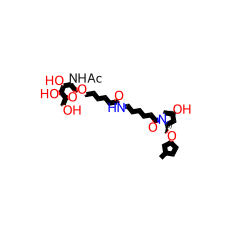 CC(=O)NC1C(OCCCCCC(=O)NCCCCCC(=O)N2C[C@H](O)C[C@H]2COC2CCC(C)C2)OC(CO)C(O)C1O